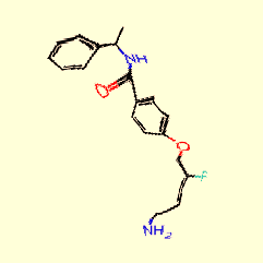 CC(NC(=O)c1ccc(OC/C(F)=C\CN)cc1)c1ccccc1